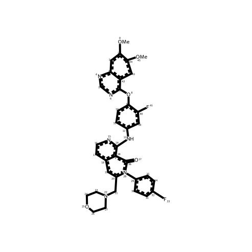 COc1cc2ncnc(Oc3ccc(Nc4nccc5cc(CN6CCOCC6)n(-c6ccc(F)cc6)c(=O)c45)cc3F)c2cc1OC